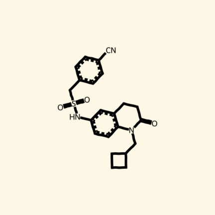 N#Cc1ccc(CS(=O)(=O)Nc2ccc3c(c2)CCC(=O)N3CC2CCC2)cc1